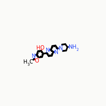 Cc1nc2cc(O)c(-c3ccc4nc(N5CCC(N)CC5)ccc4n3)cc2o1